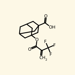 C=C(C(=O)OC12CC3CC(C1)CC(C(=O)O)(C3)C2)C(F)(F)F